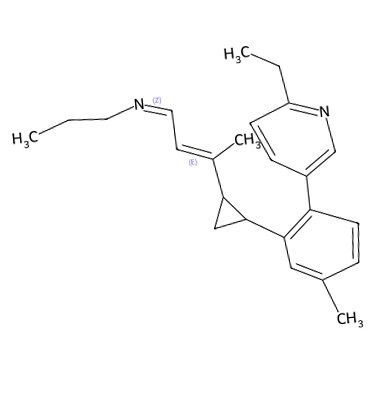 CCC/N=C\C=C(/C)C1CC1c1cc(C)ccc1-c1ccc(CC)nc1